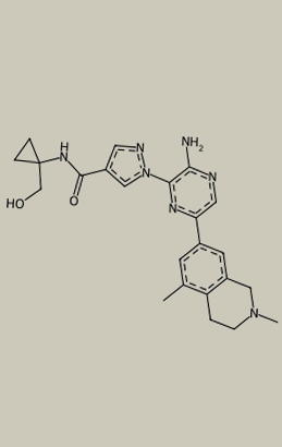 Cc1cc(-c2cnc(N)c(-n3cc(C(=O)NC4(CO)CC4)cn3)n2)cc2c1CCN(C)C2